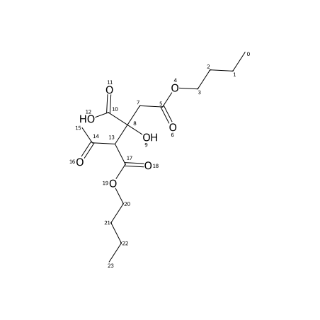 CCCCOC(=O)CC(O)(C(=O)O)C(C(C)=O)C(=O)OCCCC